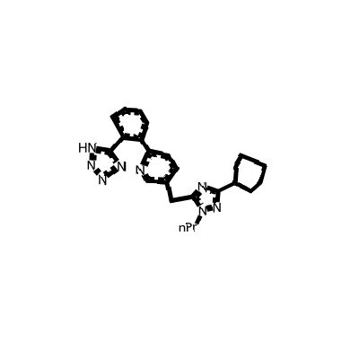 CCCn1nc(C2CCCCC2)nc1Cc1ccc(-c2ccccc2-c2nnn[nH]2)nc1